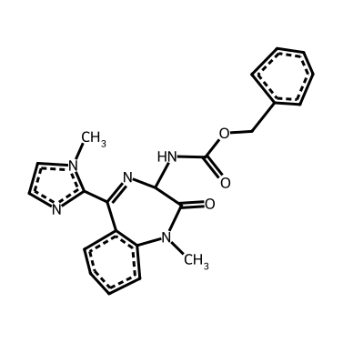 CN1C(=O)C(NC(=O)OCc2ccccc2)N=C(c2nccn2C)c2ccccc21